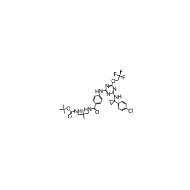 CC(C)(CNC(=O)OC(C)(C)C)CNC(=O)c1ccc(Nc2nc(NC3(c4ccc(Cl)cc4)CC3)nc(OCC(F)(F)F)n2)cc1